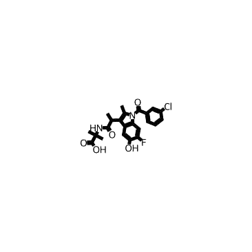 Cc1c(C(C)C(=O)NC(C)(C)C(=O)O)c2cc(O)c(F)cc2n1C(=O)c1cccc(Cl)c1